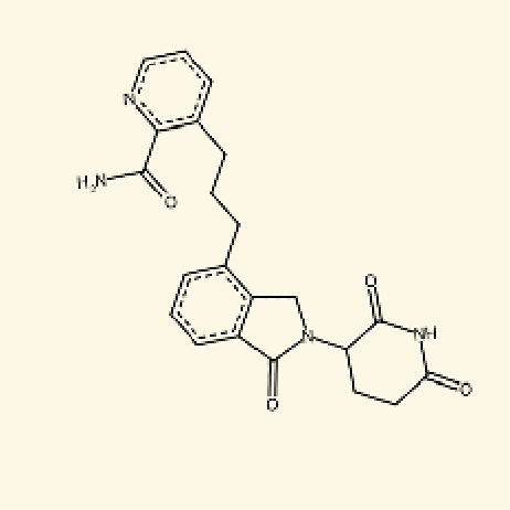 NC(=O)c1ncccc1CCCc1cccc2c1CN(C1CCC(=O)NC1=O)C2=O